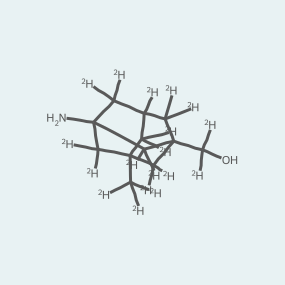 [2H]C([2H])([2H])C12C([2H])([2H])C3([2H])C([2H])([2H])C(N)(C1([2H])[2H])C([2H])([2H])C(C([2H])([2H])O)(C3([2H])[2H])C2([2H])[2H]